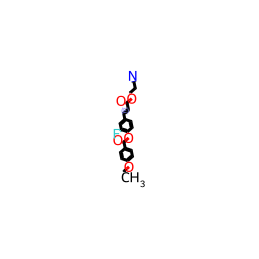 CCOc1ccc(C(=O)Oc2ccc(/C=C/C(=O)OCCC#N)cc2F)cc1